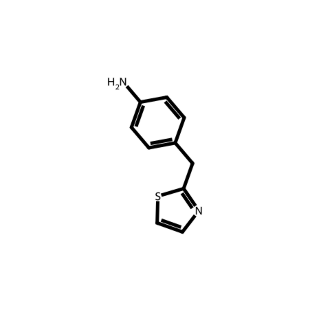 Nc1ccc(Cc2nccs2)cc1